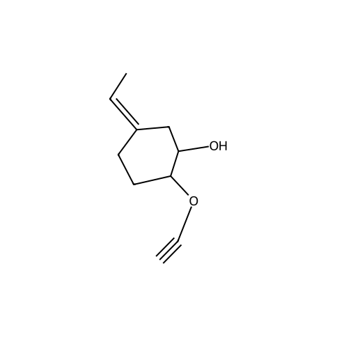 C#COC1CCC(=CC)CC1O